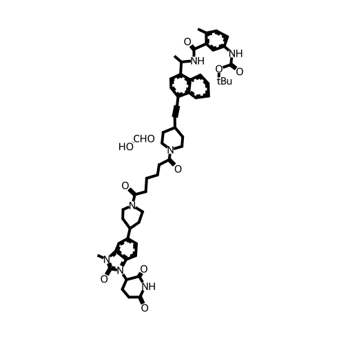 Cc1ccc(NC(=O)OC(C)(C)C)cc1C(=O)NC(C)c1ccc(C#CC2CCN(C(=O)CCCCC(=O)N3CCC(c4ccc5c(c4)n(C)c(=O)n5C4CCC(=O)NC4=O)CC3)CC2)c2ccccc12.O=CO